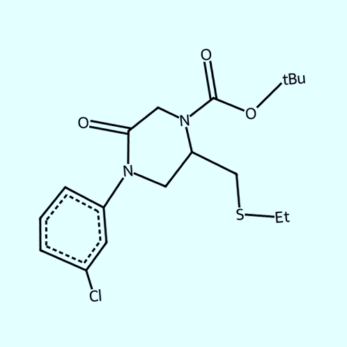 CCSCC1CN(c2cccc(Cl)c2)C(=O)CN1C(=O)OC(C)(C)C